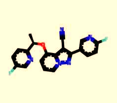 C[C@@H](Oc1cccn2nc(-c3ccc(F)nc3)c(C#N)c12)c1ccc(F)cn1